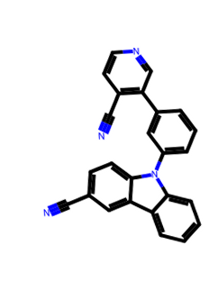 N#Cc1ccc2c(c1)c1ccccc1n2-c1cccc(-c2cnccc2C#N)c1